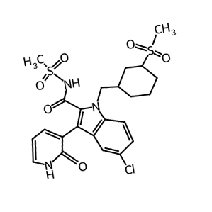 CS(=O)(=O)NC(=O)c1c(-c2ccc[nH]c2=O)c2cc(Cl)ccc2n1CC1CCCC(S(C)(=O)=O)C1